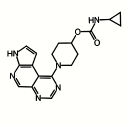 O=C(NC1CC1)OC1CCN(c2ncnc3cnc4[nH]ccc4c23)CC1